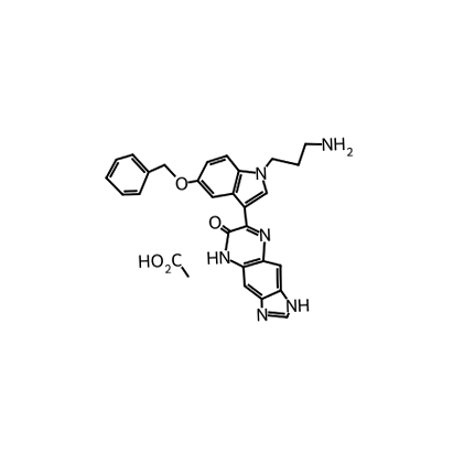 CC(=O)O.NCCCn1cc(-c2nc3cc4[nH]cnc4cc3[nH]c2=O)c2cc(OCc3ccccc3)ccc21